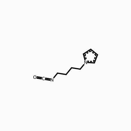 O=C=NCCCCn1cccc1